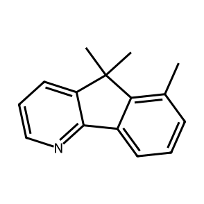 Cc1cccc2c1C(C)(C)c1cccnc1-2